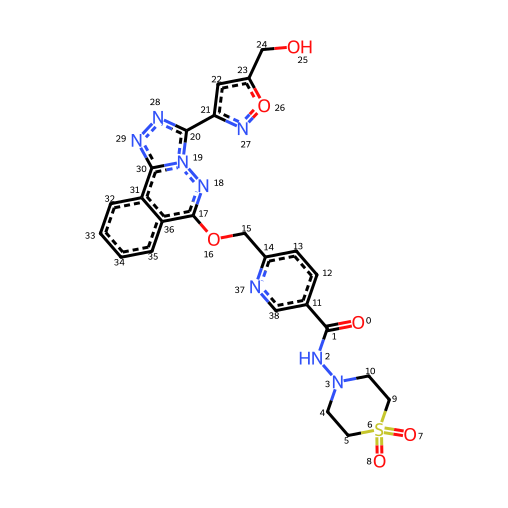 O=C(NN1CCS(=O)(=O)CC1)c1ccc(COc2nn3c(-c4cc(CO)on4)nnc3c3ccccc23)nc1